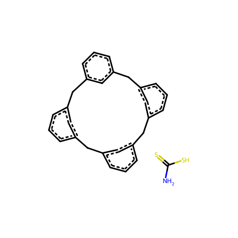 NC(=S)S.c1cc2cc(c1)Cc1cccc(c1)Cc1cccc(c1)Cc1cccc(c1)C2